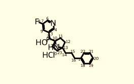 Cl.O[C@@H](c1cncc(F)c1)C12CCC(CCCc3ccccc3)(CC1)N2